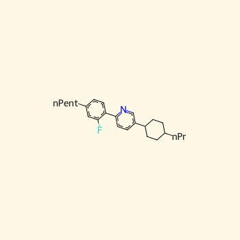 CCCCCc1ccc(-c2ccc(C3CCC(CCC)CC3)cn2)c(F)c1